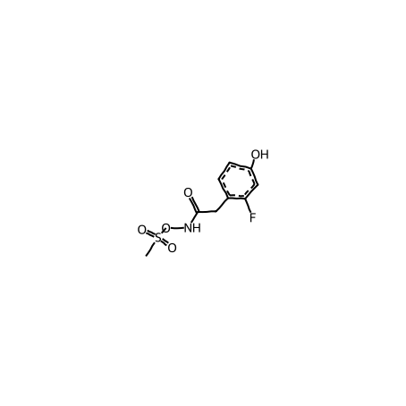 CS(=O)(=O)ONC(=O)Cc1ccc(O)cc1F